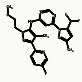 COCCn1nc(-c2ccc(F)cn2)c(C)c1Nc1cc(-n2nc(C)cc2C(F)F)ncn1